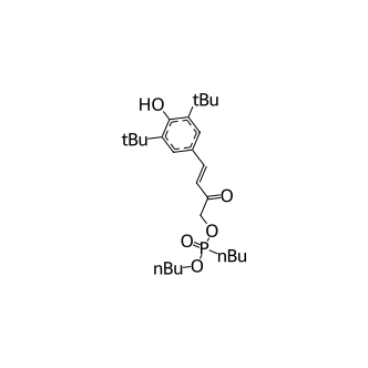 CCCCOP(=O)(CCCC)OCC(=O)C=Cc1cc(C(C)(C)C)c(O)c(C(C)(C)C)c1